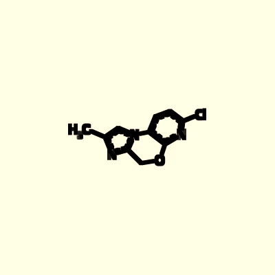 Cc1cn2c(n1)COc1nc(Cl)ccc1-2